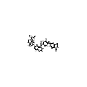 C=CC(=O)N1CC[C@@H]2CN(c3ccc4ncnc(Nc5ccc(Oc6ccc7c(c6)ncn7C)c(C)c5)c4n3)C[C@@H]21